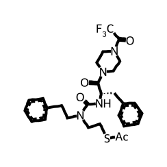 CC(=O)SCCN(CCc1ccccc1)C(=O)N[C@@H](Cc1ccccc1)C(=O)N1CCN(C(=O)C(F)(F)F)CC1